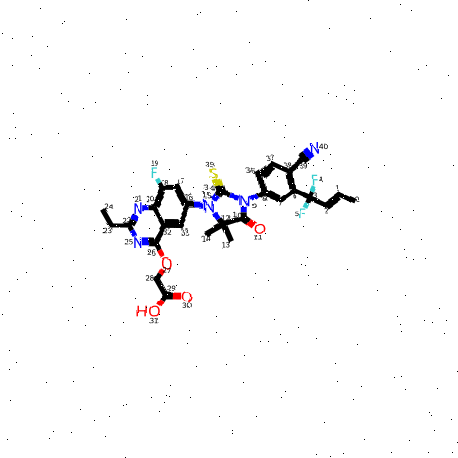 C/C=C/C(F)(F)c1cc(N2C(=O)C(C)(C)N(c3cc(F)c4nc(CC)nc(OCC(=O)O)c4c3)C2=S)ccc1C#N